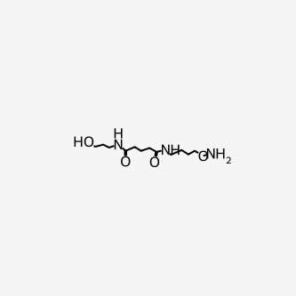 NOCCCCNC(=O)CCCC(=O)NCCCO